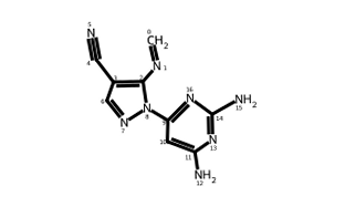 C=Nc1c(C#N)cnn1-c1cc(N)nc(N)n1